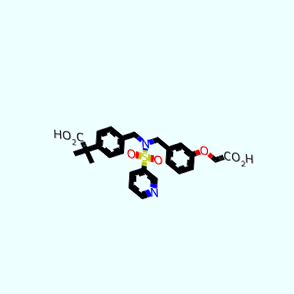 CC(C)(C(=O)O)c1ccc(CN(Cc2cccc(OCC(=O)O)c2)S(=O)(=O)c2cccnc2)cc1